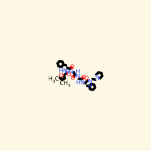 Cc1cc(C(=O)N[C@@H](CC2CCCCC2)C(=O)NCC(=O)NCC(=O)N[C@@H](CC2CCCCC2)C(=O)NCCN2CCCCC2)oc1C